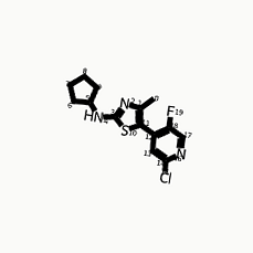 Cc1nc(NC2CCCC2)sc1-c1cc(Cl)ncc1F